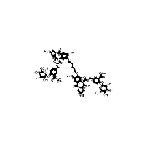 C=C1C[C@H]2C(O)N(C(=O)OCc3ccc(O[C@@H]4O[C@H](C(=O)O)[C@@H](O)[C@H](O)[C@H]4O)c(C(=O)NC(C)C)c3)c3cc(OCCCCCOc4cc5c(cc4OC)C(=O)N4CC(=C)C[C@H]4C(O)N5C(=O)OCc4ccc(O[C@@H]5O[C@H](C(=O)O)[C@@H](O)[C@H](O)[C@H]5O)c(C(=O)OC)c4)c(OC)cc3C(=O)N2C1